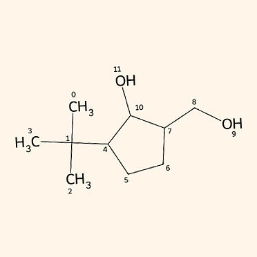 CC(C)(C)C1CCC(CO)C1O